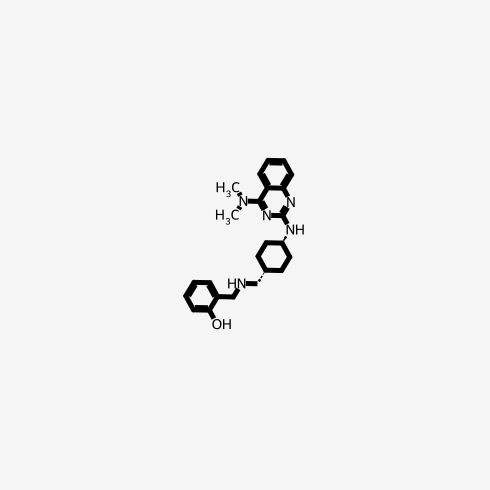 CN(C)c1nc(N[C@H]2CC[C@@H](CNCc3ccccc3O)CC2)nc2ccccc12